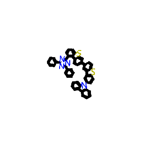 C1=CC2c3ccccc3N(c3ccc4sc5c(c4c3)=CC(c3ccc4c(c3)sc3cccc(-c6nc(-c7ccccc7)nc(-c7ccccc7)n6)c34)CC=5)C2C=C1